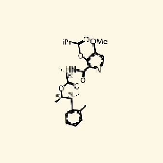 COc1ccnc(C(=O)N[C@@H](C)C(=O)O[C@H](C)[C@H](C)c2ccccc2C)c1OC(=O)C(C)C